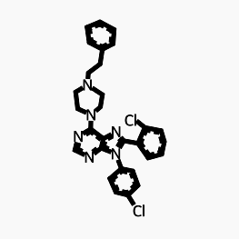 Clc1ccc(-n2c(-c3ccccc3Cl)nc3c(N4CCN(CCc5ccccc5)CC4)ncnc32)cc1